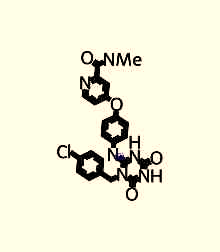 CNC(=O)c1cc(Oc2ccc(/N=c3\[nH]c(=O)[nH]c(=O)n3Cc3ccc(Cl)cc3)cc2)ccn1